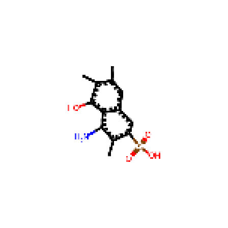 Cc1cc2cc(S(=O)(=O)O)c(C)c(N)c2c(O)c1C